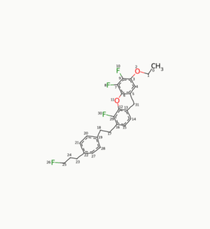 CCOc1cc2c(c(F)c1F)Oc1c(ccc(CCc3ccc(CCCF)cc3)c1F)C2